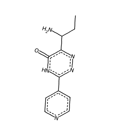 CCC(N)c1nnc(-c2ccncc2)[nH]c1=O